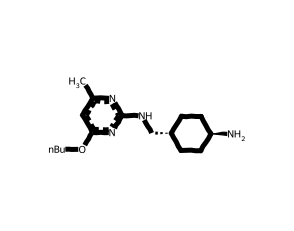 CCCCOc1cc(C)nc(NC[C@H]2CC[C@H](N)CC2)n1